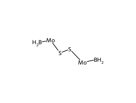 [BH2][Mo][S][S][Mo][BH2]